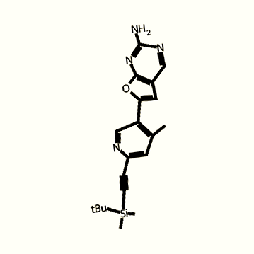 Cc1cc(C#C[Si](C)(C)C(C)(C)C)ncc1-c1cc2cnc(N)nc2o1